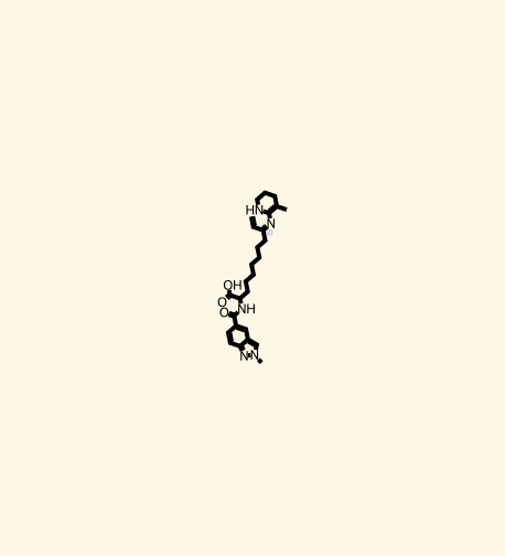 C=C/C(CCCCCCCC(NC(=O)c1ccc2nn(C)cc2c1)C(=O)O)=N\C1=C(C)CCCN1